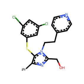 CC(C)c1nc(CO)n(CCc2ccncc2)c1Sc1cc(Cl)cc(Cl)c1